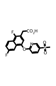 CS(=O)(=O)c1ccc(Oc2cc(CC(=O)O)c(F)c3ccc(F)cc23)nc1